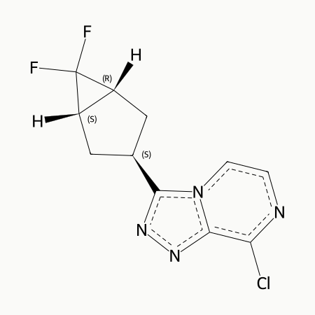 FC1(F)[C@@H]2C[C@@H](c3nnc4c(Cl)nccn34)C[C@@H]21